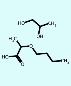 CC(O)CO.CCCCOC(C)C(=O)O